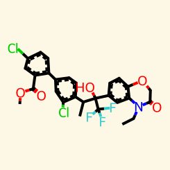 CCN1C(=O)COc2ccc(C(O)(C(C)c3ccc(-c4ccc(Cl)cc4C(=O)OC)cc3Cl)C(F)(F)F)cc21